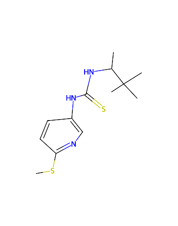 CSc1ccc(NC(=S)NC(C)C(C)(C)C)cn1